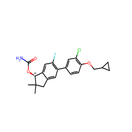 CC1(C)Cc2cc(-c3ccc(OCC4CC4)c(Cl)c3)c(F)cc2[C@@H]1OC(N)=O